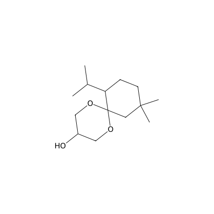 CC(C)C1CCC(C)(C)CC12OCC(O)CO2